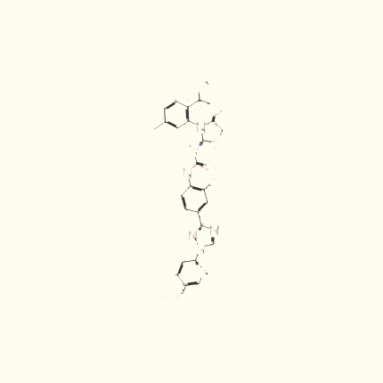 CCOC(C)c1ccc(C)cc1N1C(=O)CS/C1=N\C(=O)Nc1ccc(-c2ncn(-c3ccc(C(F)(F)F)cn3)n2)cc1F